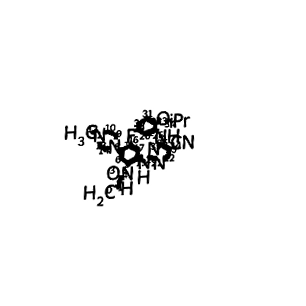 C=CC(=O)Nc1cc(N2CCN(C)CC2)c(F)cc1Nc1ncc(C#N)c(Nc2ccccc2OC(C)C)n1